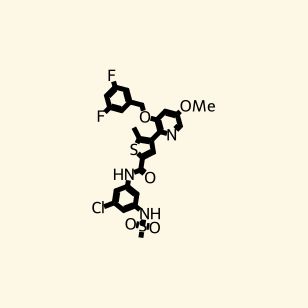 COc1cnc(-c2cc(C(=O)Nc3cc(Cl)cc(NS(C)(=O)=O)c3)sc2C)c(OCc2cc(F)cc(F)c2)c1